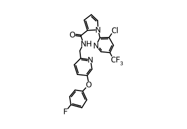 O=C(NCc1ccc(Oc2ccc(F)cc2)cn1)c1cccn1-c1ncc(C(F)(F)F)cc1Cl